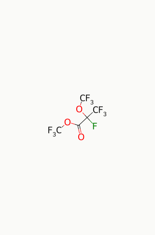 O=C(OC(F)(F)F)C(F)(OC(F)(F)F)C(F)(F)F